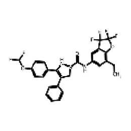 CCc1cc(NC(=O)N2CC(c3ccccc3)=C(c3ccc(OC(F)F)cc3)N2)cc2c1OC(F)(F)C2(F)F